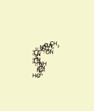 CN1CC[C@@](O)(c2cc(-c3cccc(-c4cccc(Nc5cnc(CO)cn5)n4)n3)no2)C1=O